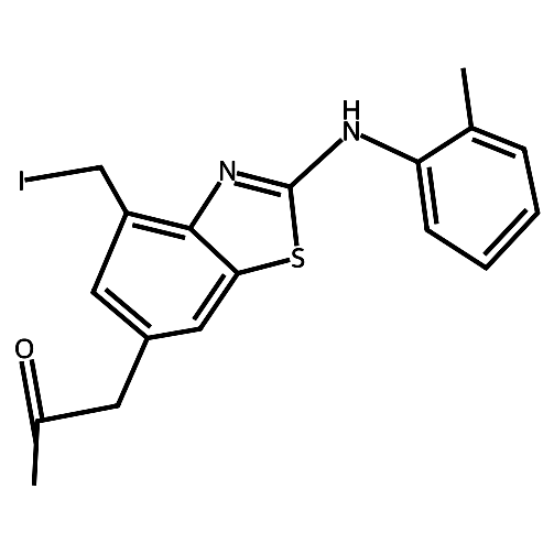 CC(=O)Cc1cc(CI)c2nc(Nc3ccccc3C)sc2c1